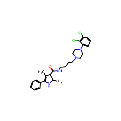 CC1=C(c2ccccc2)NC(C)C1C(=O)NCCCCN1CCN(c2cccc(Cl)c2Cl)CC1